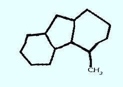 CC1CCCC2CC3CCCCC3C12